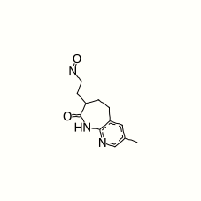 Cc1cnc2c(c1)CCC(CCN=O)C(=O)N2